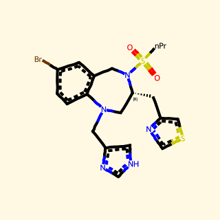 CCCS(=O)(=O)N1Cc2cc(Br)ccc2N(Cc2c[nH]cn2)C[C@H]1Cc1cscn1